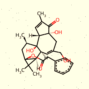 CC1=C[C@H]2[C@@]3(O)[C@H](C)C[C@]4(OC(=O)Cc5ccccc5)[C@@H]([C@@H]3C=C(CO)C[C@]2(O)C1=O)C4(C)C